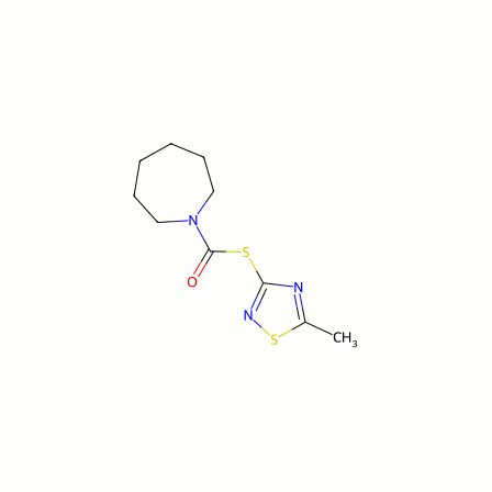 Cc1nc(SC(=O)N2CCCCCC2)ns1